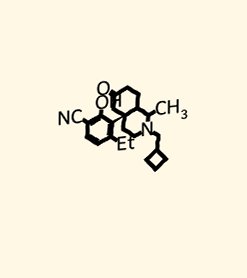 CCc1ccc(C#N)c(O)c1[C@]12CCN(CC3CCC3)C(C)C1CCC(=O)C2